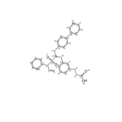 C=CC(c1ccccn1)S(=O)(=O)N(Cc1ccc(-c2cccnc2)cc1)Cc1cccc(CCC(=O)O)c1